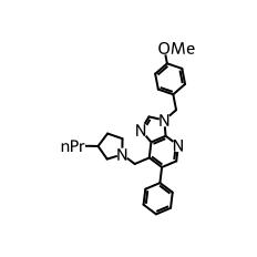 CCCC1CCN(Cc2c(-c3ccccc3)cnc3c2ncn3Cc2ccc(OC)cc2)C1